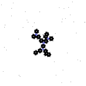 CC1(C)c2ccccc2-c2ccc(N(c3ccc(-c4ccccc4)cc3)c3ccc(-n4c5ccc(-c6ccc7c(c6)c6ccccc6n7-c6ccccc6)cc5c5c6c7c(n(-c8ccccc8)c6ccc54)-c4ccccc4C7(C)C)cc3)cc21